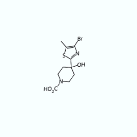 Cc1sc(C2(O)CCN(C(=O)O)CC2)nc1Br